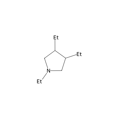 CCC1CN(CC)CC1CC